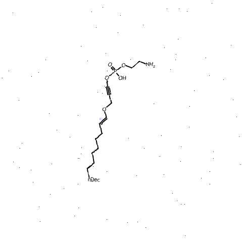 CCCCCCCCCCCCCCCC/C=C/OCC#COP(=O)(O)OCCN